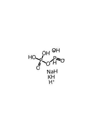 O=[PH](O)OP(=O)(O)O.[H+].[KH].[NaH]